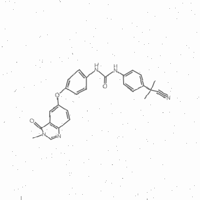 Cn1cnc2ccc(Oc3ccc(NC(=O)Nc4ccc(C(C)(C)C#N)cc4)cc3)cc2c1=O